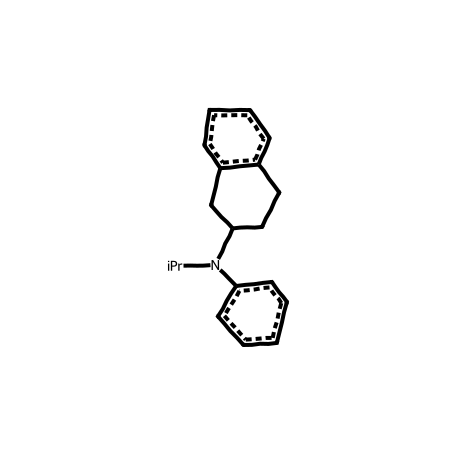 CC(C)N(c1ccccc1)C1CCc2ccccc2C1